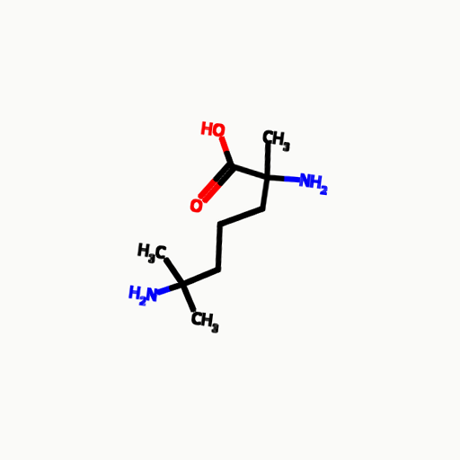 CC(C)(N)CCCC(C)(N)C(=O)O